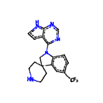 FC(F)(F)c1ccc2c(c1)C1(CCNCC1)CN2c1ncnc2[nH]ccc12